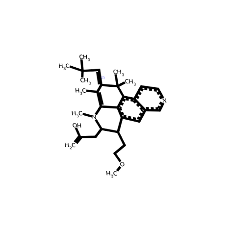 C=C(O)CC1C(CCOC)c2cc3cnccc3c3c2C(=C(C)/C(=C\C(C)(C)C)C3(C)C)N1C